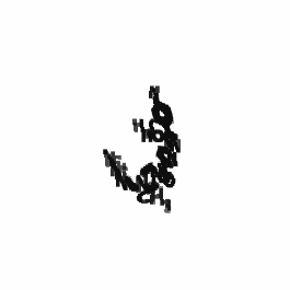 Cc1cc(C#N)ccc1-c1cnn(-c2ccc(C(=O)N3CCN(CCN=[N+]=[N-])[C@@H](C)C3)cn2)c1O